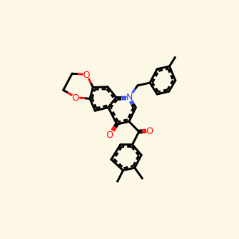 Cc1cccc(Cn2cc(C(=O)c3ccc(C)c(C)c3)c(=O)c3cc4c(cc32)OCCO4)c1